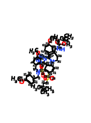 COc1ccc(CN(Cc2ccc(OC)cc2)S(=O)(=O)c2c(S(=O)(=O)CC[Si](C)(C)C)ccc(N3CCC(CNC(=O)OC(C)(C)C)CC3)c2-c2nnnn2Cc2ccc(OC)cc2)cc1